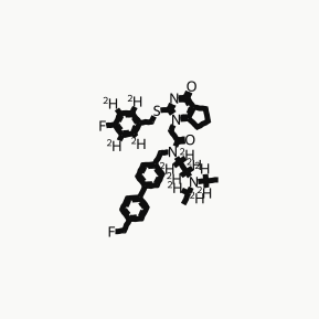 [2H]c1c([2H])c(CSc2nc(=O)c3c(n2CC(=O)N(Cc2ccc(-c4ccc(CF)cc4)cc2)C([2H])([2H])C([2H])([2H])N(C([2H])([2H])C)C([2H])([2H])C)CCC3)c([2H])c([2H])c1F